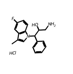 Cc1cn(C(c2ccccc2)C(O)CN)c2ccc(F)cc12.Cl